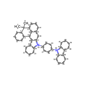 CC1(C)c2ccccc2-c2c3c1cccc3cc1c2c2ccccc2n1-c1ccc(-n2c3ccccc3c3ccccc32)cc1